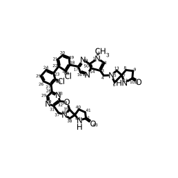 Cn1cc(CN2CC3(CCC(=O)N3)C2)c2ncc(-c3cccc(-c4cccc(-c5cnc6c(n5)OC5N(C6)CC56CCC(=O)N6)c4Cl)c3Cl)nc21